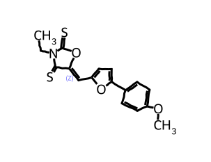 CCN1C(=S)O/C(=C\c2ccc(-c3ccc(OC)cc3)o2)C1=S